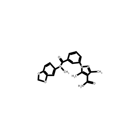 Cc1nn(-c2cccc(C(=O)N(C)c3ccc4c(c3)OCO4)c2)c(C)c1C(N)=O